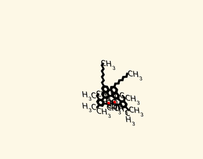 CCCCCCCCc1ccc2c3c(c(-c4c(C(C)C)cc(C(C)C)cc4C(C)C)cc2c1)OP(=O)(O)Oc1c(-c2c(C(C)C)cc(C(C)C)cc2C(C)C)cc2cc(CCCCCCCC)ccc2c1-3